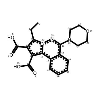 CCc1c(C(=O)O)c(C(=O)O)c2c3ccccc3c(N3CCOCC3)nn12